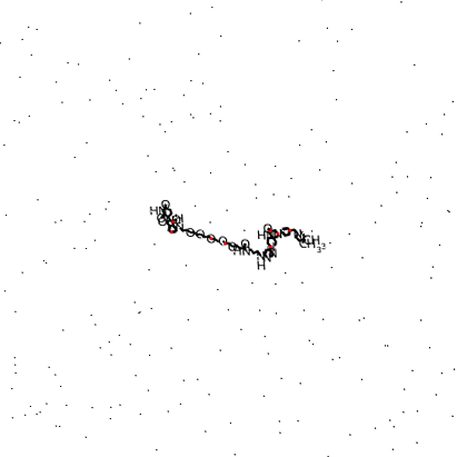 CC1(C)CCN(Cc2ccc(N3CC(=O)NC4(CCN(c5cc(NCCCNC(=O)CCOCCOCCOCCOCCOCCNc6cccc7c6C(=O)N(C6CCC(=O)NC6=O)C7=O)ncn5)CC4)C3)cc2)CC1